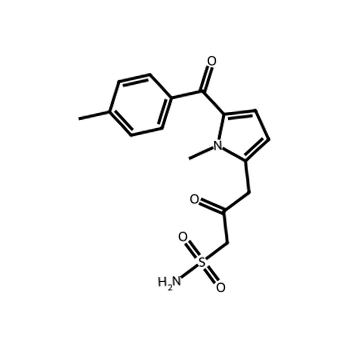 Cc1ccc(C(=O)c2ccc(CC(=O)CS(N)(=O)=O)n2C)cc1